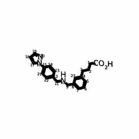 O=C(O)CCCc1cccc(CNCc2ccc(-n3cccn3)cc2)c1